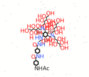 CC(=O)Nc1ccc(C(=O)Nc2ccc(C(=O)NCC(=O)Nc3c(Br)c(C(=O)N(CC(O)C(O)C(O)C(O)CO)CC(O)C(O)C(O)C(O)CO)c(Br)c(C(=O)N(CC(O)C(O)C(O)C(O)CO)CC(O)C(O)C(O)C(O)CO)c3Br)cc2)cc1